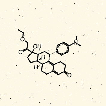 CCOCC(=O)[C@@]1(O)CC[C@H]2[C@@H]3CCC4=CC(=O)CCC4=C3[C@@H](c3ccc(N(C)C)cc3)C[C@@]21C